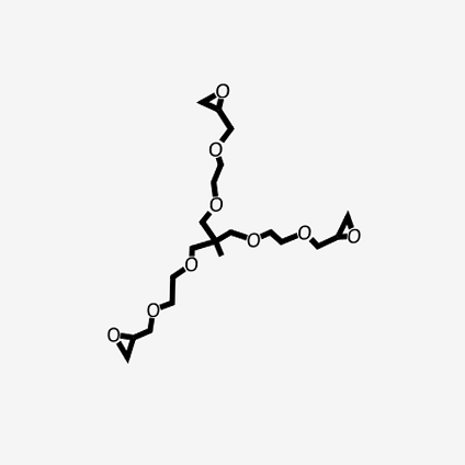 CC(COCCOCC1CO1)(COCCOCC1CO1)COCCOCC1CO1